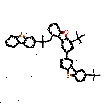 CC(C)(C)c1ccc2sc3ccc(-c4cc(C(C)(C)C)c5oc6cccc(CC(C)(C)c7ccc8c(c7)sc7ccccc78)c6c5c4)cc3c2c1